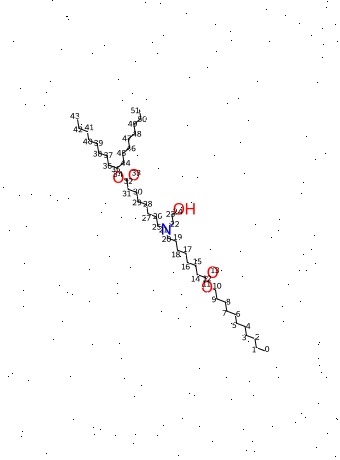 CCCCCCCCCCCOC(=O)CCCCCCCN(CCO)CCCCCCCC(=O)OC(CCCCCCCC)CCCCCCCC